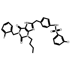 CCCCn1c(=O)n(Cc2ccccc2F)c(=O)c2[nH]c(Cc3ccc(NS(=O)(=O)c4cccc(Cl)c4)cc3)nc21